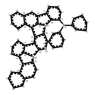 c1ccc(N(c2ccccc2)c2cccc3c4cc5ccccc5c5c6c7c8cccc9c%10c%11ccccc%11ccc%10n(c7ncc6n(c23)c45)c98)cc1